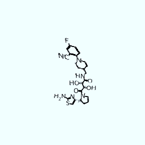 N#Cc1cc(F)ccc1N1CCC(CNC(=O)[C@H](O)[C@@H](O)C(=O)N2CCC[C@@H]2c2csc(N)n2)CC1